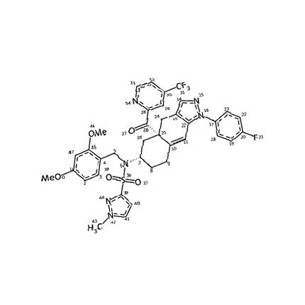 COc1ccc(CN([C@H]2CCC3=Cc4c(cnn4-c4ccc(F)cc4)C[C@]3(C(=O)c3cc(C(F)(F)F)ccn3)C2)S(=O)(=O)c2ccn(C)n2)c(OC)c1